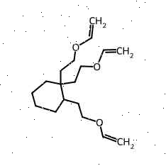 C=COCCC1CCCCC1(CCOC=C)CCOC=C